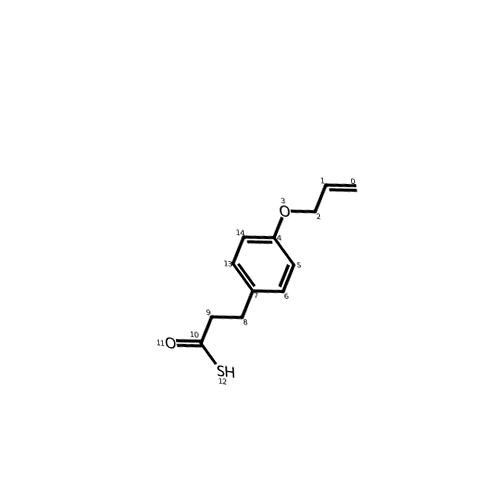 C=CCOc1ccc(CCC(=O)S)cc1